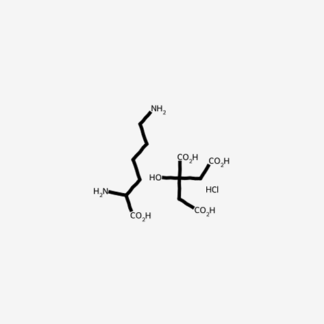 Cl.NCCCCC(N)C(=O)O.O=C(O)CC(O)(CC(=O)O)C(=O)O